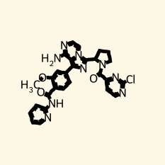 COc1cc(-c2nc(C3CCCN3C(=O)c3ccnc(Cl)n3)n3ccnc(N)c23)ccc1C(=O)Nc1ccccn1